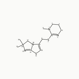 CN1CCCN=C1SCC1=CSC2=NC(C)(C)CN12